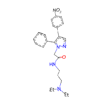 CCN(CC)CCCNC(=O)Cn1ncc(-c2ccc([N+](=O)[O-])cc2)c1-c1ccccc1